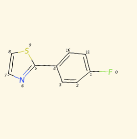 Fc1ccc(-c2n[c]cs2)cc1